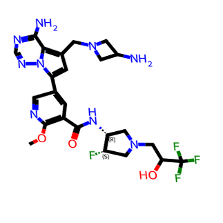 COc1ncc(-c2cc(CN3CC(N)C3)c3c(N)ncnn23)cc1C(=O)N[C@@H]1CN(CC(O)C(F)(F)F)C[C@@H]1F